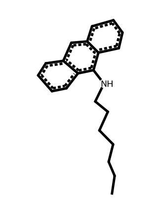 CCCCCCCNc1c2ccccc2cc2ccccc12